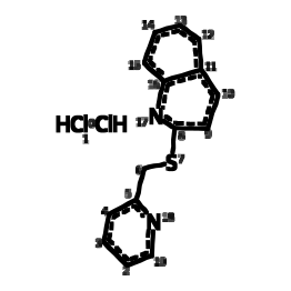 Cl.Cl.c1ccc(CSc2ccc3ccccc3n2)nc1